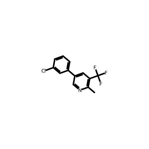 Cc1ncc(-c2cccc(Cl)c2)cc1C(F)(F)F